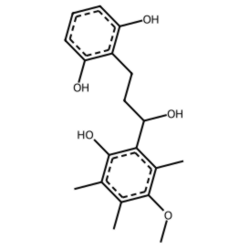 COc1c(C)c(C)c(O)c(C(O)CCc2c(O)cccc2O)c1C